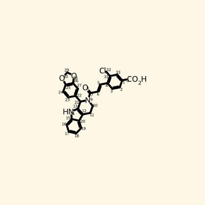 O=C(O)c1ccc(C=CC(=O)N2CCc3c([nH]c4ccccc34)C2c2ccc3c(c2)OCO3)c(Cl)c1